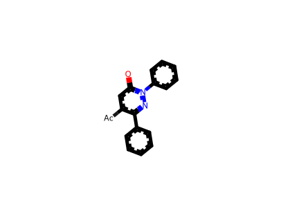 CC(=O)c1cc(=O)n(-c2ccccc2)nc1-c1ccccc1